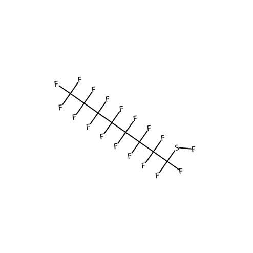 FSC(F)(F)C(F)(F)C(F)(F)C(F)(F)C(F)(F)C(F)(F)C(F)(F)C(F)(F)F